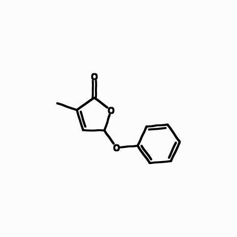 CC1=CC(Oc2ccccc2)OC1=O